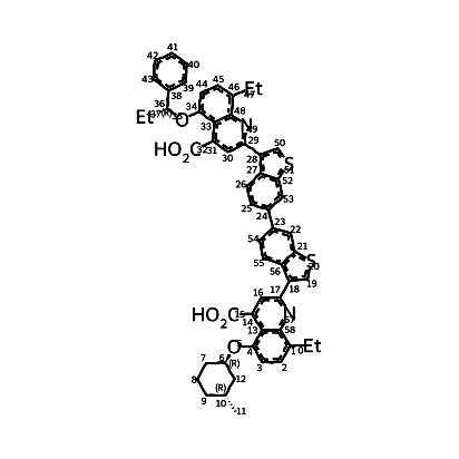 CCc1ccc(O[C@@H]2CCC[C@@H](C)C2)c2c(C(=O)O)cc(-c3csc4cc(-c5ccc6c(-c7cc(C(=O)O)c8c(O[C@H](CC)c9ccccc9)ccc(CC)c8n7)csc6c5)ccc34)nc12